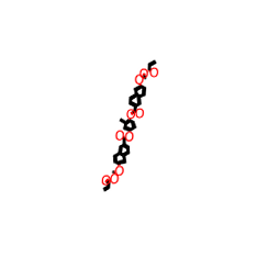 C=CC(=O)OCOc1ccc2cc(C(=O)Oc3ccc(OC(=O)c4ccc5cc(OCOC(=O)C=C)ccc5c4)c(C)c3)ccc2c1